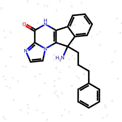 NC1(CCCc2ccccc2)c2ccccc2-c2[nH]c(=O)c3nccn3c21